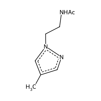 CC(=O)NCCn1cc(C)cn1